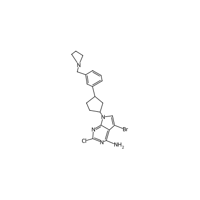 Nc1nc(Cl)nc2c1c(Br)cn2C1CCC(c2cccc(CN3CCC3)c2)C1